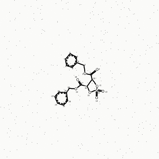 O=C(OCc1ccccc1)C1OS(=O)(=O)O[C@H]1C(=O)OCc1ccccc1